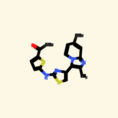 CNC(=O)c1ccc(Nc2nc(-c3c(C)nc4cc(OC)ccn34)cs2)s1